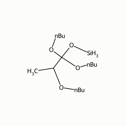 CCCCOC(C)C(O[SiH3])(OCCCC)OCCCC